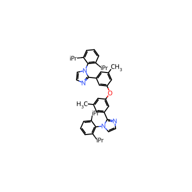 Cc1cc(Oc2cc(C)cc(-c3nccn3-c3c(C(C)C)cccc3C(C)C)c2)cc(-c2nccn2-c2c(C(C)C)cccc2C(C)C)c1